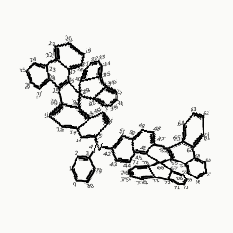 c1ccc(N(c2ccc3c4c(ccc3c2)-c2c(c3ccccc3c3ccccc23)C42c3ccccc3-c3ccccc32)c2ccc3c4c(ccc3c2)-c2c(c3ccccc3c3ccccc23)C42c3ccccc3-c3ccccc32)cc1